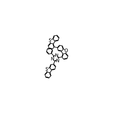 c1ccc(-c2nc(-c3ccc4c(c3)sc3ccccc34)nc(-c3cccc4oc5ccc(-c6cccc7sc8ccccc8c67)cc5c34)n2)cc1